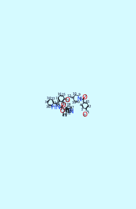 O=Cc1ccc(C(=O)N2CCC(COc3cccc(C(NC(=O)O[C@H]4CN5CCC4CC5)c4ccccc4)c3)CC2)cc1